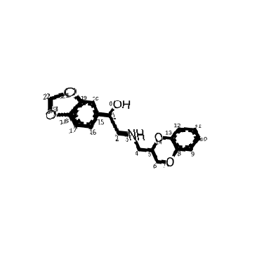 OC(CNCC1COc2ccccc2O1)c1ccc2c(c1)OCO2